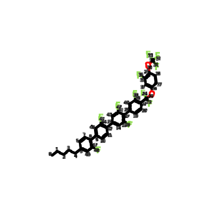 CCCCCc1ccc(-c2ccc(-c3cc(F)c(-c4ccc(C(F)(F)Oc5ccc(OC(F)(F)F)c(F)c5)c(F)c4)c(F)c3)c(F)c2)c(F)c1